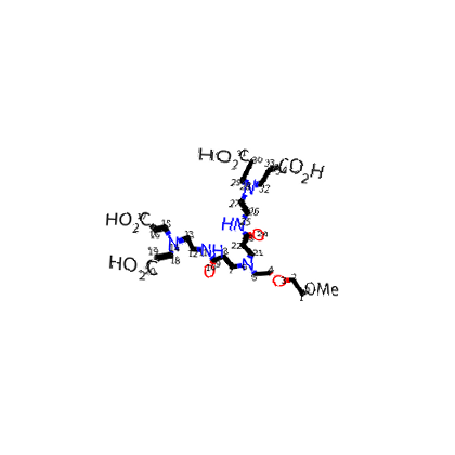 COCCOCCN(CCC(=O)NCCN(CCC(=O)O)CCC(=O)O)CCC(=O)NCCN(CCC(=O)O)CCC(=O)O